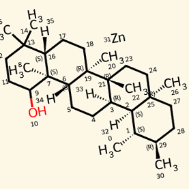 C[C@@H]1[C@H]2[C@H]3CC[C@@H]4[C@@]5(C)C(O)CCC(C)(C)[C@@H]5CC[C@@]4(C)[C@]3(C)CC[C@@]2(C)CC[C@H]1C.[Zn]